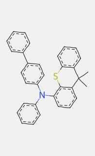 CC1(C)c2ccccc2Sc2c(N(c3ccccc3)c3ccc(-c4ccccc4)cc3)cccc21